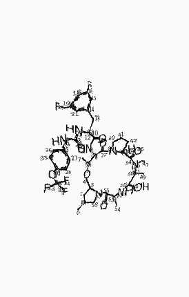 C[C@H]1CC2CO[C@@H](C)[C@H](NC(=O)[C@H](Cc3cc(F)cc(F)c3)NC(=O)Nc3ccc(OC(F)(F)F)cc3)C(=O)N3CCC[C@H]3C(=O)N(C)[C@@H](C)C(O)N[C@@H](C)C(=O)N2C1